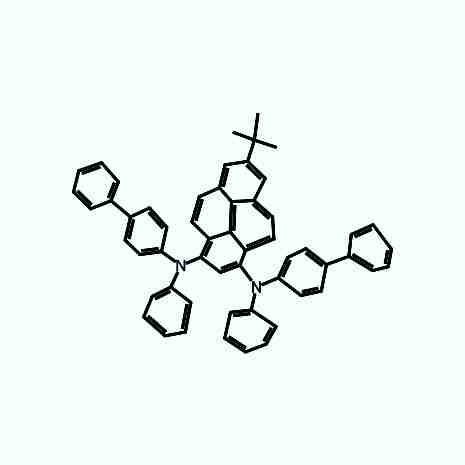 CC(C)(C)c1cc2ccc3c(N(c4ccccc4)c4ccc(-c5ccccc5)cc4)cc(N(c4ccccc4)c4ccc(-c5ccccc5)cc4)c4ccc(c1)c2c34